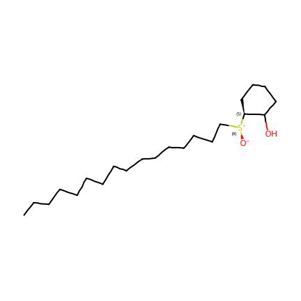 CCCCCCCCCCCCCCCC[S@+]([O-])[C@H]1CCCCC1O